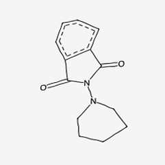 O=C1c2ccccc2C(=O)N1N1CCCCC1